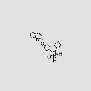 O=c1[nH][nH]c(-c2ccncc2)c1-c1ccc(OCc2ccc3ccccc3n2)cc1